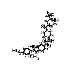 Cc1cc(CO)ccc1-c1cc2ccc(S(=O)(=O)N[C@H]3CC[C@H](C(=O)N4CCNC(C(F)(F)F)C4)CC3)cc2[nH]1